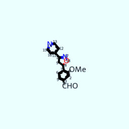 COc1cc(C=O)ccc1C1CC(c2ccncc2)=NO1